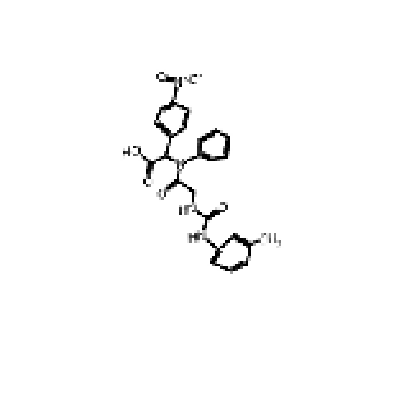 Cc1cccc(NC(=O)NCC(=O)N(c2ccccc2)C(C(=O)O)c2ccc([N+](=O)[O-])cc2)c1